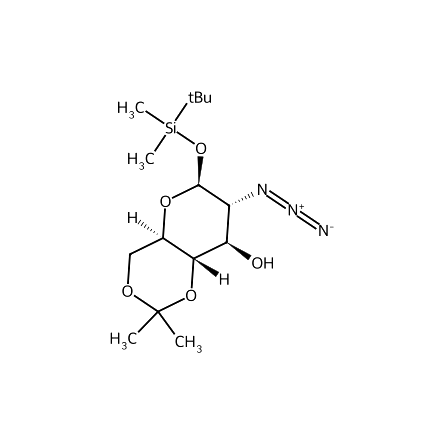 CC1(C)OC[C@H]2O[C@@H](O[Si](C)(C)C(C)(C)C)[C@H](N=[N+]=[N-])[C@@H](O)[C@@H]2O1